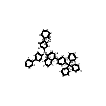 c1ccc(-c2ccc(N(c3ccc4c(c3)oc3ccccc34)c3ccc(-c4ccc(C(c5ccccc5)(c5ccccc5)c5ccccc5)cc4)c4ccccc34)cc2)cc1